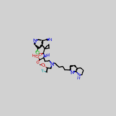 COC(CF)CN(CCCCc1ccc2c(n1)NCCC2)CCC(NC(=O)C1(c2c(Cl)cncc2C#N)CC1)C(=O)O